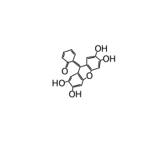 O=C1C=CC=CC1=C1c2cc(O)c(O)cc2Oc2cc(O)c(O)cc21